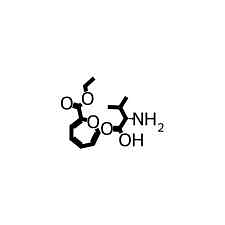 CC(C)[C@H](N)C(=O)O.CCOC(=O)C1=CC=CC=CO1